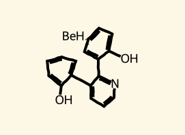 Oc1ccccc1-c1cccnc1-c1ccccc1O.[BeH2]